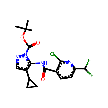 CC(C)(C)OC(=O)n1ncc(C2CC2)c1NC(=O)c1ccc(C(F)F)nc1Cl